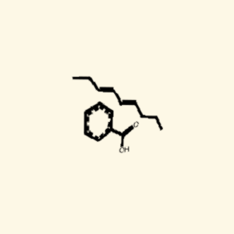 CCC=CC=CCCC.O=C(O)c1ccccc1